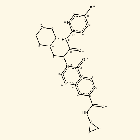 O=C(NC1CC1)c1ccc2c(=O)n(C(CC3CCOCC3)C(=O)Nc3ccc(F)cn3)cnc2c1